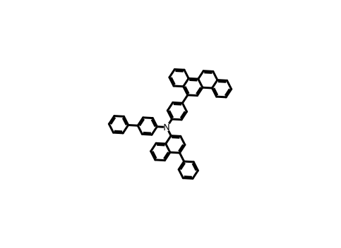 c1ccc(-c2ccc(N(c3ccc(-c4cc5c6ccccc6ccc5c5ccccc45)cc3)c3ccc(-c4ccccc4)c4ccccc34)cc2)cc1